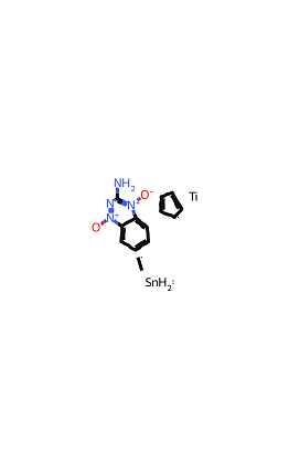 Nc1n[n+]([O-])c2ccccc2[n+]1[O-].[CH2]C.[CH]1C=CC=C1.[SnH2].[Ti]